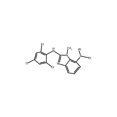 CCc1cc(Cl)cc(CC)c1Nc1nc2cccc(N(CC)C(C)C)c2n1C